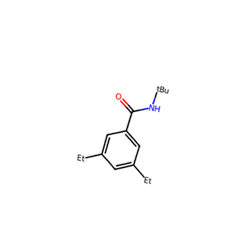 CCc1cc(CC)cc(C(=O)NC(C)(C)C)c1